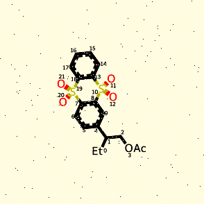 CCC(COC(C)=O)c1ccc2c(c1)S(=O)(=O)c1ccccc1S2(=O)=O